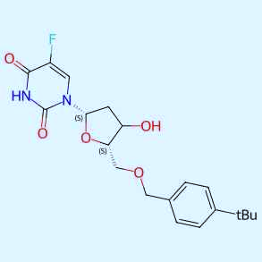 CC(C)(C)c1ccc(COC[C@@H]2O[C@H](n3cc(F)c(=O)[nH]c3=O)CC2O)cc1